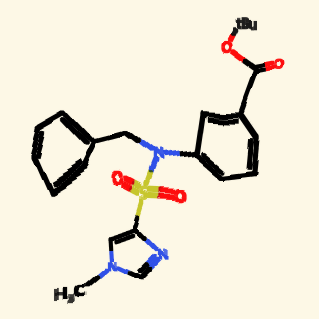 Cn1cnc(S(=O)(=O)N(Cc2ccccc2)c2cccc(C(=O)OC(C)(C)C)c2)c1